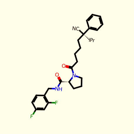 CC(C)[C@@](C#N)(CCCCC(=O)N1CCC[C@@H]1C(=O)NCc1ccc(F)cc1F)c1ccccc1